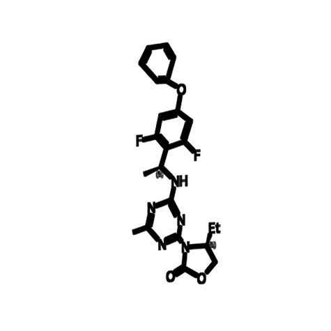 CC[C@H]1COC(=O)N1c1nc(C)nc(N[C@@H](C)c2c(F)cc(Oc3ccccc3)cc2F)n1